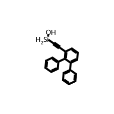 O[SiH2]C#Cc1cccc(-c2ccccc2)c1-c1ccccc1